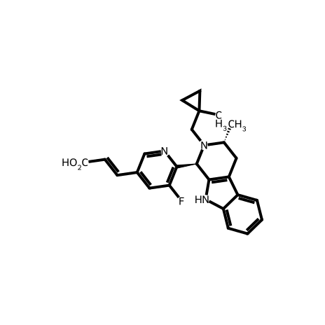 C[C@@H]1Cc2c([nH]c3ccccc23)[C@@H](c2ncc(/C=C/C(=O)O)cc2F)N1CC1(C)CC1